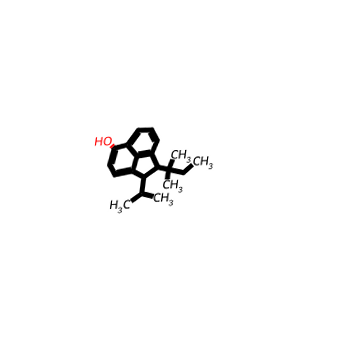 CCC(C)(C)C1c2cccc3c(O)ccc(c23)C1C(C)C